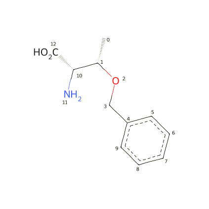 C[C@H](OCc1ccccc1)[C@H](N)C(=O)O